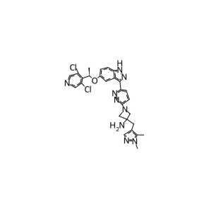 Cc1c(CC2(N)CN(c3ccc(-c4n[nH]c5ccc(O[C@H](C)c6c(Cl)cncc6Cl)cc45)nn3)C2)cnn1C